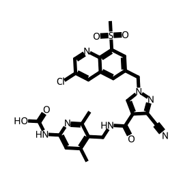 Cc1cc(NC(=O)O)nc(C)c1CNC(=O)c1cn(Cc2cc(S(C)(=O)=O)c3ncc(Cl)cc3c2)nc1C#N